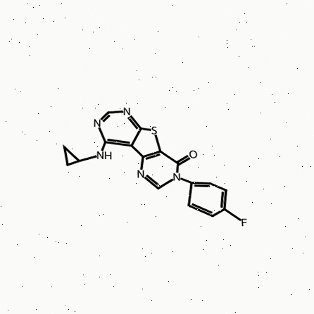 O=c1c2sc3ncnc(NC4CC4)c3c2ncn1-c1ccc(F)cc1